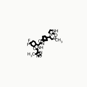 COCC(c1ccc2oc(C(NC(=O)c3nonc3C)C3CCC(F)(F)CC3)nc2c1)N1CCNC1=O